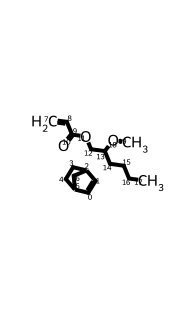 C1=CC2CCC1C2.C=CC(=O)OCC(CCCC)OC